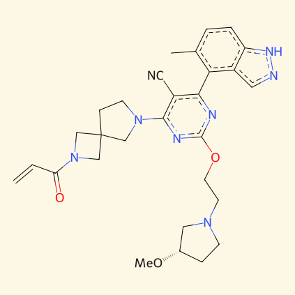 C=CC(=O)N1CC2(CCN(c3nc(OCCN4CC[C@H](OC)C4)nc(-c4c(C)ccc5[nH]ncc45)c3C#N)C2)C1